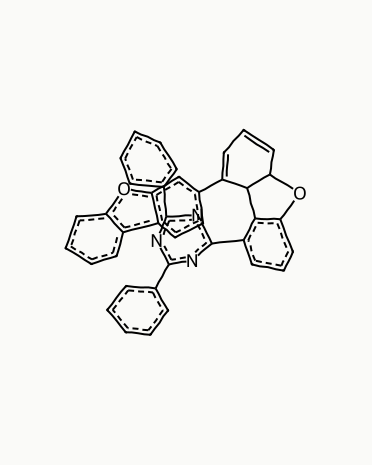 C1=CC2Oc3cccc(-c4nc(-c5ccccc5)nc(-c5ccccc5)n4)c3C2C(c2ccc3c(c2)oc2ccccc23)=C1